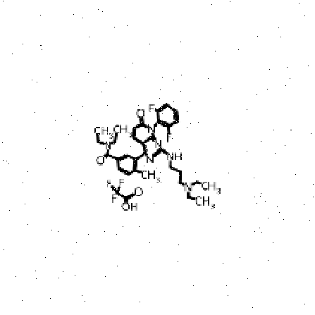 CCN(CC)CCCNc1nc(-c2cc(C(=O)N(CC)CC)ccc2C)c2ccc(=O)n(-c3c(F)cccc3F)c2n1.O=C(O)C(F)(F)F